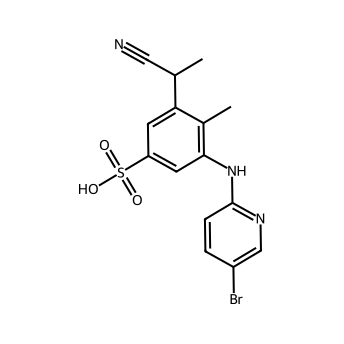 Cc1c(Nc2ccc(Br)cn2)cc(S(=O)(=O)O)cc1C(C)C#N